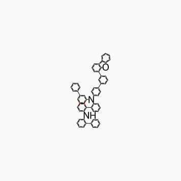 c1ccc(-c2cccc(N(c3ccc(-c4cccc(-c5cccc6c5oc5ccccc56)c4)cc3)c3ccccc3-c3ccccc3Nc3ccccc3-c3ccccc3)c2)cc1